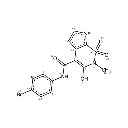 CN1C(O)=C(C(=O)Nc2ccc(Br)cc2)c2ccsc2S1(=O)=O